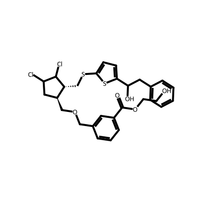 O=C(OCCO)c1cccc(COC[C@H]2CC(Cl)C(Cl)[C@@H]2CSc2ccc(C(O)Cc3ccccc3)s2)c1